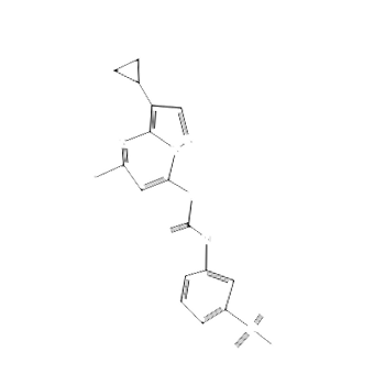 CS(=O)(=O)c1cccc(NC(=O)Oc2cc(Cl)nc3c(C4CC4)cnn23)c1